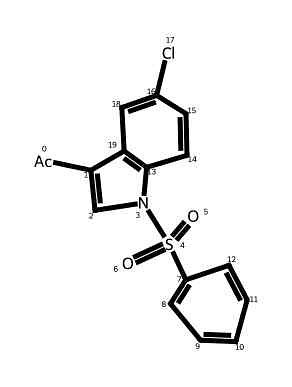 CC(=O)c1cn(S(=O)(=O)c2ccccc2)c2ccc(Cl)cc12